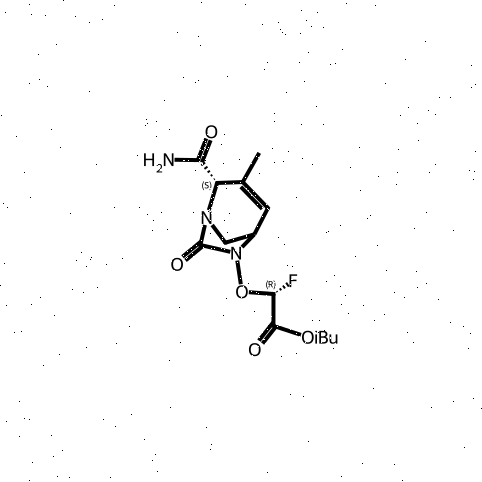 CC1=CC2CN(C(=O)N2O[C@H](F)C(=O)OCC(C)C)[C@@H]1C(N)=O